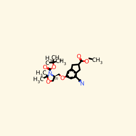 CCOC(=O)C1Cc2cc(OC[C@H]3COC(C)(C)N3C(=O)OC(C)(C)C)cc(C#N)c2C1